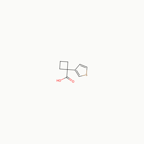 O=C(O)C1(c2ccsc2)CCC1